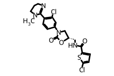 CN1CCCN=C1c1ccc(N2C[C@H](CNC(=O)c3ccc(Cl)s3)OC2=O)cc1Cl